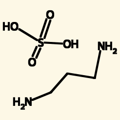 NCCCN.O=S(=O)(O)O